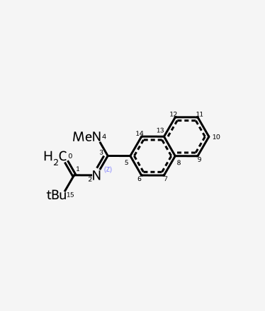 C=C(/N=C(\NC)c1ccc2ccccc2c1)C(C)(C)C